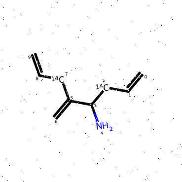 C=C[14CH2][C](N)C(=C)[14CH2]C=C